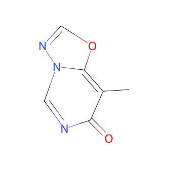 Cc1c(=O)ncn2ncoc12